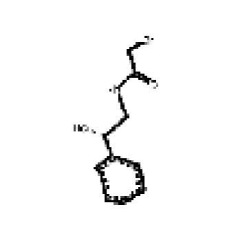 O=C(CBr)NC[C@@H](O)c1ccccc1